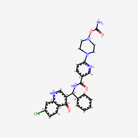 NC(=O)ON1CCN(c2ccc(C(=O)NC(c3ccccc3)c3c[nH]c4cc(Cl)ccc4c3=O)cn2)CC1